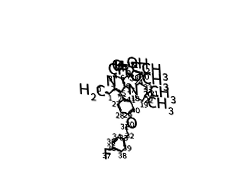 C=Cc1nc(C)c(C(OC(C)(C)C)C(=O)O)c(N2CCC(C)(C)CC2)c1-c1ccc(OCCc2ccc(F)cc2)cc1